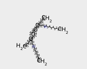 C=CCCCCCC/C=C/CCC(CCCC=C)OCCOCc1ccc(COC(CC/C=C/CCCCCCC=C)CCCC=C)cc1